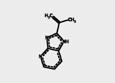 C=C(C)c1nc2ncccc2[nH]1